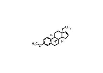 CC[C@@]12C=CC[C@H]1[C@@H]1CCc3cc(OC)ccc3[C@H]1CC2